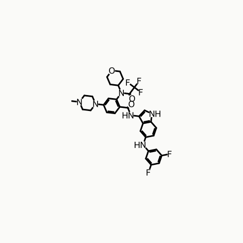 CN1CCN(c2ccc(C(=O)Nc3c[nH]c4ccc(Nc5cc(F)cc(F)c5)cc34)c(N(C(=O)C(F)(F)F)C3CCOCC3)c2)CC1